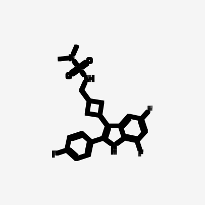 CN(C)S(=O)(=O)NCC1CC(c2c(-c3ccc(F)cc3)[nH]c3c(F)cc(F)cc23)C1